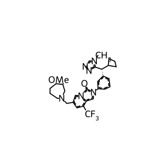 CO[C@@H]1CCCCN(Cc2cc(C(F)(F)F)c3cn(-c4cccc([C@H](c5nncn5C)C5CCC5)c4)c(=O)n3c2)C1